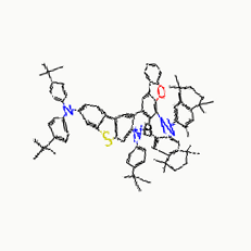 Cc1cc2c(cc1N1c3cc4c(cc3B3c5c(cc6c(oc7ccccc76)c51)-c1cc5c(cc1N3c1ccc(C(C)(C)C)cc1)sc1cc(N(c3ccc(C(C)(C)C)cc3)c3ccc(C(C)(C)C)cc3)ccc15)C(C)(C)CCC4(C)C)C(C)(C)CCC2(C)C